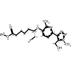 Cc1nc(-c2nnn(C)c2CO)ccc1O[C@H](CF)CCCCC(=O)OC(C)C